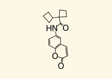 O=C(Nc1ccc2oc(=O)ccc2c1)C1(C2CCC2)CCC1